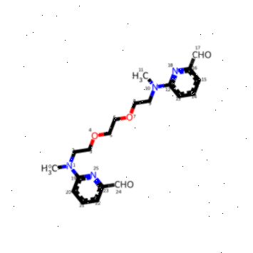 CN(CCOCCOCCN(C)c1cccc(C=O)n1)c1cccc(C=O)n1